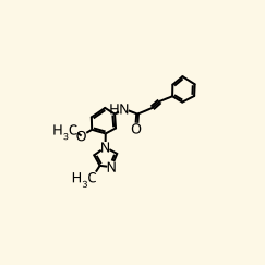 COc1ccc(NC(=O)C#Cc2ccccc2)cc1-n1cnc(C)c1